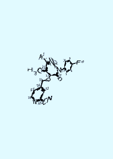 CC(=O)c1nn(-c2ccc(F)cc2)c(=O)c(OCc2ccnc(C#N)c2)c1C